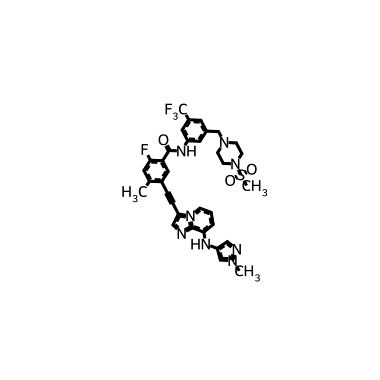 Cc1cc(F)c(C(=O)Nc2cc(CN3CCN(S(C)(=O)=O)CC3)cc(C(F)(F)F)c2)cc1C#Cc1cnc2c(Nc3cnn(C)c3)cccn12